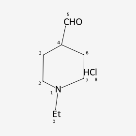 CCN1CCC(C=O)CC1.Cl